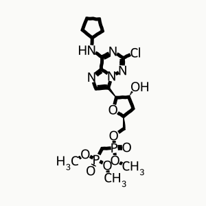 COP(=O)(CP(=O)(OC)OC[C@@H]1C[C@@H](O)[C@H](c2cnc3c(NC4CCCC4)nc(Cl)nn23)O1)OC